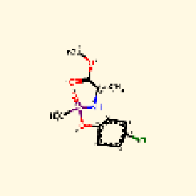 CCCCOC(=O)[C@H](C)NP(C)(=O)Oc1ccc(Cl)cc1